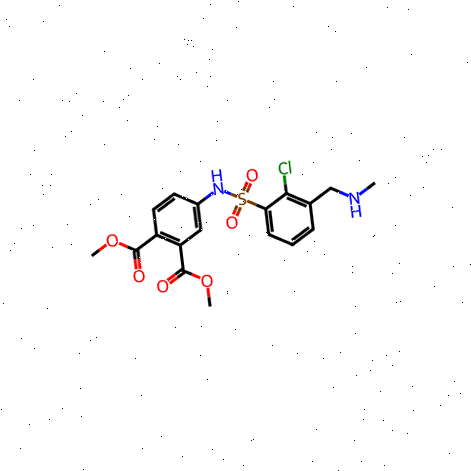 CNCc1cccc(S(=O)(=O)Nc2ccc(C(=O)OC)c(C(=O)OC)c2)c1Cl